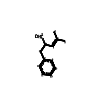 CC(C)=CC(C=O)Cc1ccccc1